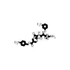 Nc1nc(C(=NOc2cccc(C(F)(F)F)c2)C(=O)NC2C(=O)N3C=C(C(=O)OCc4ccc([N+](=O)[O-])cc4)CS[C@H]23)ns1